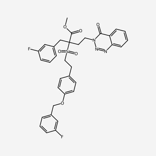 COC(=O)C(CCn1nnc2ccccc2c1=O)(Cc1cccc(F)c1)S(=O)(=O)CCc1ccc(OCc2cccc(F)c2)cc1